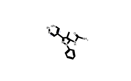 CCC/C=C(\C=N/C(C)C)c1nn(-c2ccccc2)c(NC(N)=O)c1C